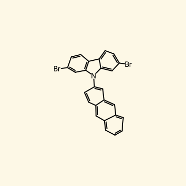 Brc1ccc2c3ccc(Br)cc3n(-c3ccc4cc5ccccc5cc4c3)c2c1